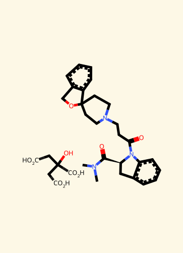 CN(C)C(=O)[C@@H]1Cc2ccccc2N1C(=O)CCN1CCC2(CC1)OCc1ccccc12.O=C(O)CC(O)(CC(=O)O)C(=O)O